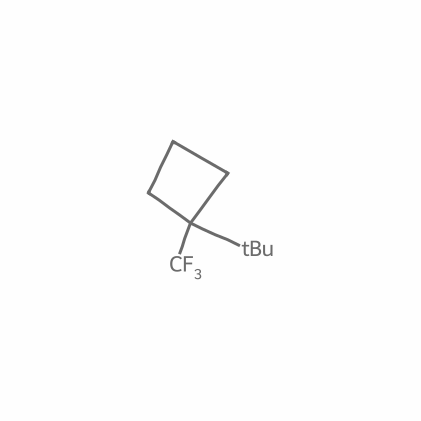 CC(C)(C)C1(C(F)(F)F)CCC1